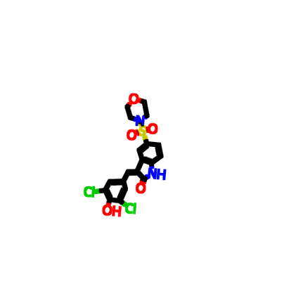 O=C1Nc2ccc(S(=O)(=O)N3CCOCC3)cc2C1=Cc1cc(Cl)c(O)c(Cl)c1